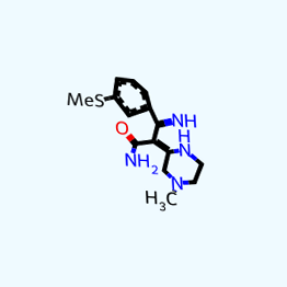 CSc1cccc(C(=N)/C(C(N)=O)=C2/CN(C)CCN2)c1